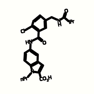 CCCn1c(C(=O)O)cc2cc(NC(=O)c3cc(CNC(=O)C(C)C)ccc3Cl)ccc21